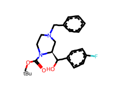 CC(C)(C)OC(=O)N1CCN(Cc2ccccc2)C[C@H]1C(O)c1ccc(F)cc1